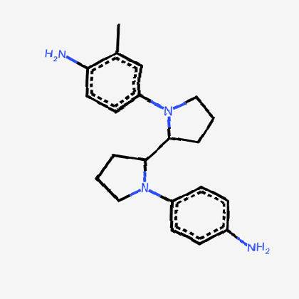 Cc1cc(N2CCCC2C2CCCN2c2ccc(N)cc2)ccc1N